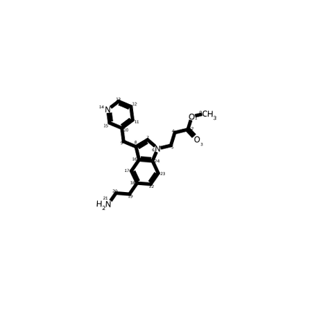 COC(=O)CCn1cc(Cc2cccnc2)c2cc(CCN)ccc21